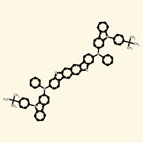 CC(C)(C)c1ccc(-n2c3ccccc3c3ccc(N(c4ccccc4)c4ccc5c(c4)oc4cc6cc7c(cc6cc45)oc4cc(N(c5ccccc5)c5ccc6c8ccccc8n(-c8ccc(C(C)(C)C)cc8)c6c5)ccc47)cc32)cc1